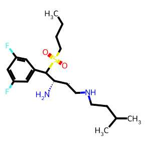 CCCCS(=O)(=O)C(c1cc(F)cc(F)c1)[C@@H](N)[CH]CNCCC(C)C